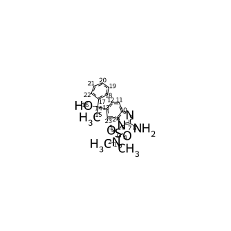 CN(C)S(=O)(=O)n1c(N)nc2ccc(C(C)(O)c3ccccc3)cc21